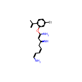 C=C(C)c1ccc(CC)cc1O/C(N)=C/C(=N)C/C=C\C=C/N